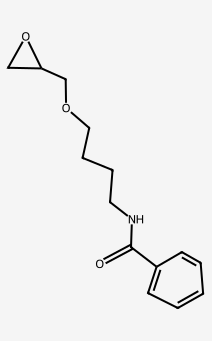 O=C(NCCCCOCC1CO1)c1ccccc1